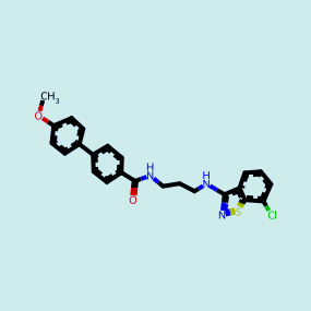 COc1ccc(-c2ccc(C(=O)NCCCNc3nsc4c(Cl)cccc34)cc2)cc1